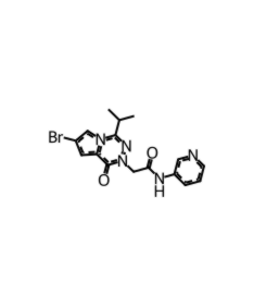 CC(C)c1nn(CC(=O)Nc2cccnc2)c(=O)c2cc(Br)cn12